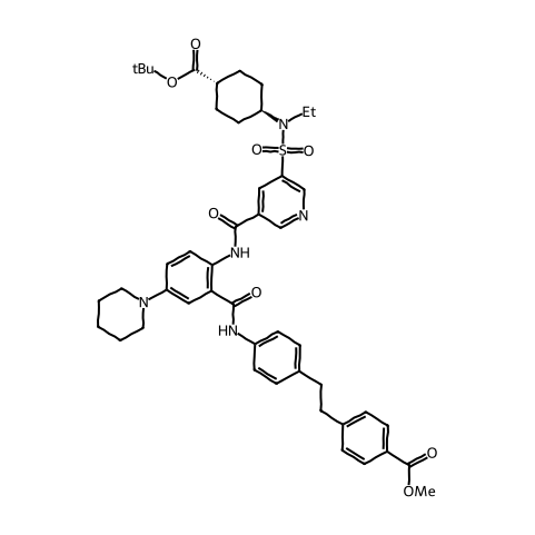 CCN([C@H]1CC[C@H](C(=O)OC(C)(C)C)CC1)S(=O)(=O)c1cncc(C(=O)Nc2ccc(N3CCCCC3)cc2C(=O)Nc2ccc(CCc3ccc(C(=O)OC)cc3)cc2)c1